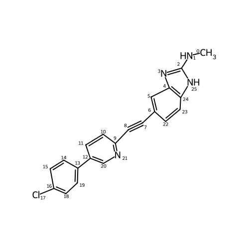 CNc1nc2cc(C#Cc3ccc(-c4ccc(Cl)cc4)cn3)ccc2[nH]1